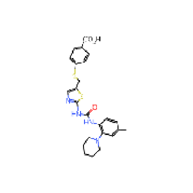 Cc1ccc(NC(=O)Nc2ncc(CSc3ccc(C(=O)O)cc3)s2)c(N2CCCCC2)c1